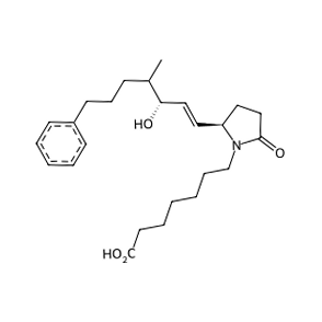 CC(CCCc1ccccc1)[C@@H](O)C=C[C@H]1CCC(=O)N1CCCCCCC(=O)O